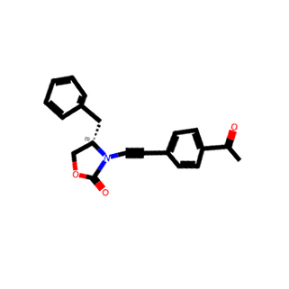 CC(=O)c1ccc(C#CN2C(=O)OC[C@@H]2Cc2ccccc2)cc1